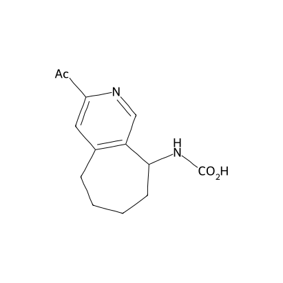 CC(=O)c1cc2c(cn1)C(NC(=O)O)CCCC2